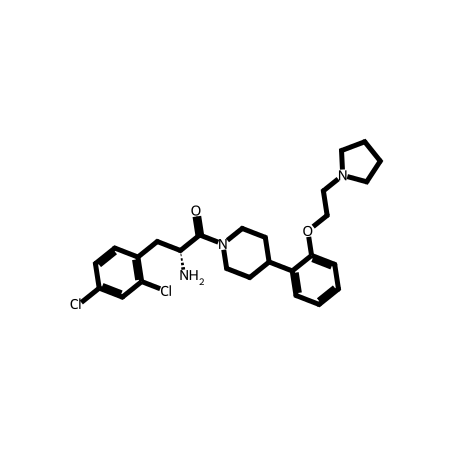 N[C@H](Cc1ccc(Cl)cc1Cl)C(=O)N1CCC(c2ccccc2OCCN2CCCC2)CC1